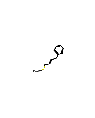 CCCCCSCC=CCc1ccccc1